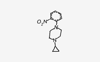 O=[N+]([O-])c1ccccc1N1CCN(C2CC2)CC1